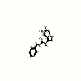 C[C@H]1Cn2ncc(N(C)C(=O)OCc3ccccc3)c2CN1